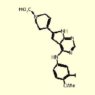 COc1ccc(Nc2ncnc3[nH]c(C4=CCN(C(=O)O)CC4)cc23)cc1I